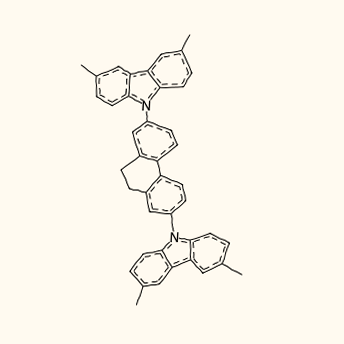 Cc1ccc2c(c1)c1cc(C)ccc1n2-c1ccc2c(c1)CCc1cc(-n3c4ccc(C)cc4c4cc(C)ccc43)ccc1-2